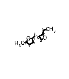 CCC1OC[C@@H]1CC1CC[C@@H](C)O1